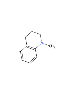 CN1CCCc2[c]cccc21